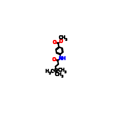 COC(=O)c1ccc(NC(=O)CC[Si](C)(C)C)cc1